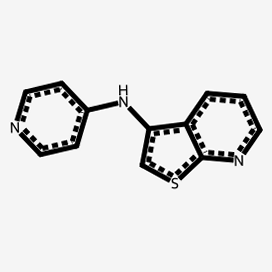 c1cnc2scc(Nc3ccncc3)c2c1